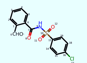 O=[C]c1ccccc1C(=O)NS(=O)(=O)c1ccc(Cl)cc1